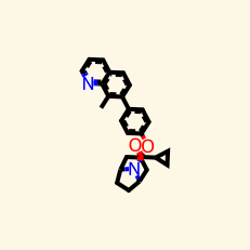 Cc1c(-c2ccc(OC3CC4CCC(C3)N4C(=O)C3CC3)cc2)ccc2cccnc12